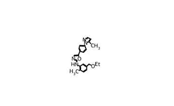 CCOCc1ccc(C)c(Nc2ncc(-c3ccc(-n4nccc4C)cc3)o2)c1